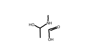 CNC(C)O.O=CO